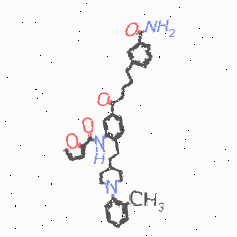 Cc1ccccc1N1CCC(CCc2ccc(C(=O)CCCCc3cccc(C(N)=O)c3)cc2NC(=O)c2ccco2)CC1